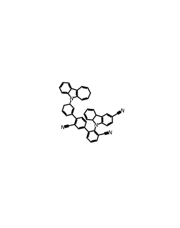 N#Cc1ccc2c(c1)C1C=CC=CC1N2c1c(C#N)cccc1-c1ccc(C2=C[C@H](n3c4c(c5ccccc53)C=CCC=C4)CC=C2)c(C#N)c1